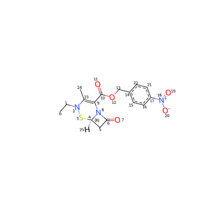 CCN1S[C@@H]2CC(=O)N2C(C(=O)OCc2ccc([N+](=O)[O-])cc2)=C1C